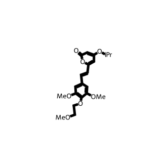 COCCOc1c(OC)cc(C=Cc2cc(OC(C)C)cc(=O)o2)cc1OC